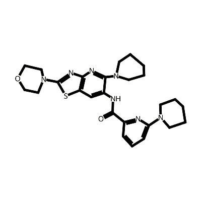 O=C(Nc1cc2sc(N3CCOCC3)nc2nc1N1CCCCC1)c1cccc(N2CCCCC2)n1